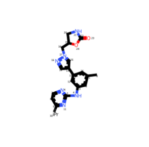 Cc1cc(Nc2nccc(C(C)C)n2)cc(-c2cnn(CC3CNC(=O)O3)c2)c1